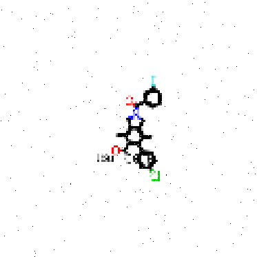 Cc1c2c(c(C)c(C(OC(C)(C)C)C(=O)O)c1-c1ccc(Cl)cc1)CN(C(=O)c1cccc(F)c1)C2